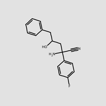 N#CC(N)(CC(O)Cc1ccccc1)c1ccc(F)cc1